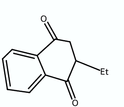 CCC1CC(=O)c2ccccc2C1=O